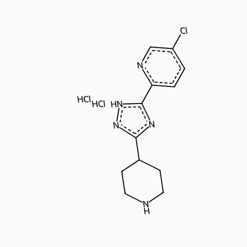 Cl.Cl.Clc1ccc(-c2nc(C3CCNCC3)n[nH]2)nc1